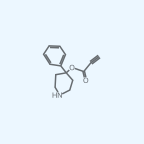 C#CC(=O)OC1(c2ccccc2)CCNCC1